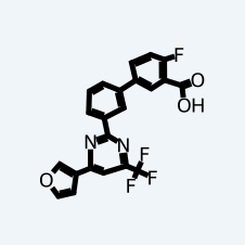 O=C(O)c1cc(-c2cccc(-c3nc(-c4ccoc4)cc(C(F)(F)F)n3)c2)ccc1F